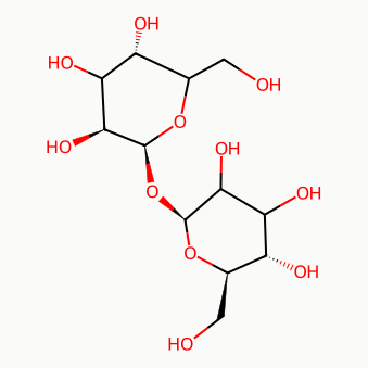 OCC1O[C@@H](O[C@@H]2O[C@H](CO)[C@@H](O)C(O)C2O)[C@@H](O)C(O)[C@@H]1O